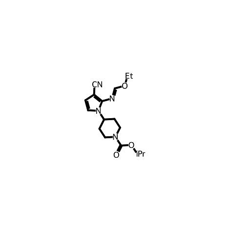 CCOC=Nc1c(C#N)ccn1C1CCN(C(=O)OC(C)C)CC1